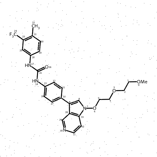 COCCOCCOn1cc(-c2ccc(NC(=O)Nc3ccc(C)c(C(F)(F)F)c3)cc2)c2cnccc21